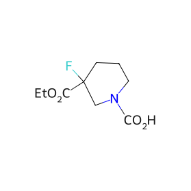 CCOC(=O)C1(F)CCCN(C(=O)O)C1